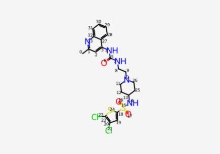 Cc1cc(NC(=O)NCCN2CCC(NS(=O)(=O)c3cc(Cl)c(Cl)s3)CC2)c2ccccc2n1